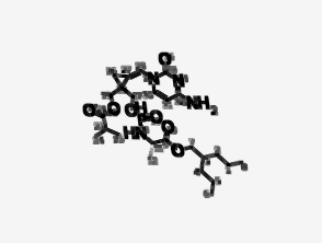 CCCC(CCC)COC(=O)[C@H](C)N[PH](=O)OCC1(COC(=O)C(C)C)C/C1=C/n1ccc(N)nc1=O